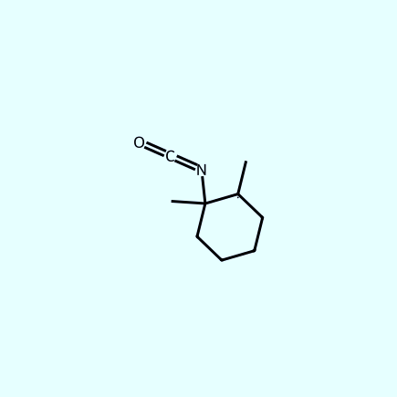 C[C]1CCCCC1(C)N=C=O